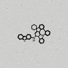 C1=C2C3=C4C(c5ccccc5N4c4ccccc4-c4cccc(c43)C23CCCCC3)C1Nc1ccc2c(c1)sc1ccccc12